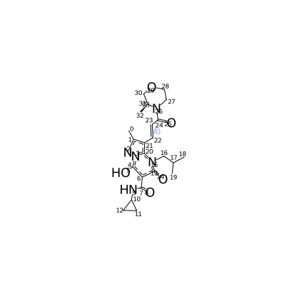 Cc1nn2c(O)c(C(=O)NC3CC3)c(=O)n(CC(C)C)c2c1/C=C/C(=O)N1CCOC[C@@H]1C